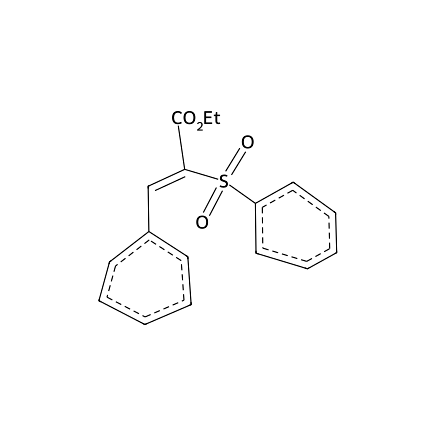 CCOC(=O)C(=Cc1ccccc1)S(=O)(=O)c1ccccc1